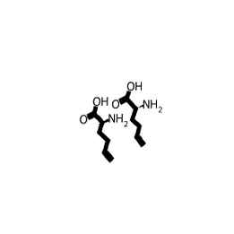 C=CCC[C@@H](N)C(=O)O.C=CCC[C@H](N)C(=O)O